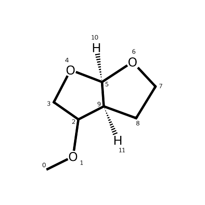 COC1CO[C@H]2OCC[C@@H]12